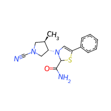 C[C@@H]1CN(C#N)C[C@H]1N1C=C(c2ccccc2)SC1C(N)=O